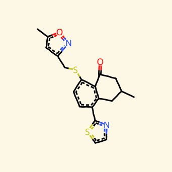 Cc1cc(CSc2ccc(-c3nccs3)c3c2C(=O)CC(C)C3)no1